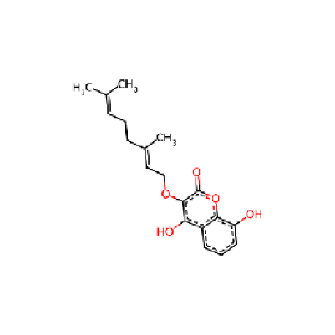 CC(C)=CCC/C(C)=C/COc1c(O)c2cccc(O)c2oc1=O